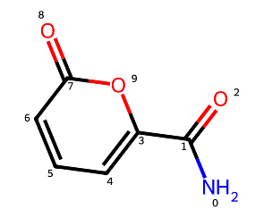 NC(=O)c1cccc(=O)o1